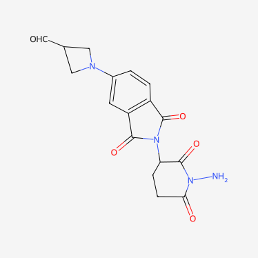 NN1C(=O)CCC(N2C(=O)c3ccc(N4CC(C=O)C4)cc3C2=O)C1=O